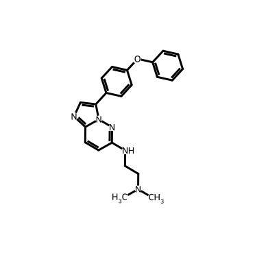 CN(C)CCNc1ccc2ncc(-c3ccc(Oc4ccccc4)cc3)n2n1